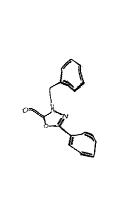 O=c1oc(-c2ccccc2)nn1Cc1cc[c]cc1